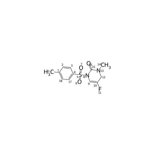 Cc1ccc(S(=O)(=O)N2C=C(F)CN(C)C2=O)cc1